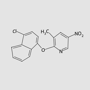 Cc1cc([N+](=O)[O-])cnc1Oc1ccc(Cl)c2ccccc12